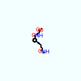 CNC(=O)CCCC#Cc1cccc(C(=O)NCCC(=O)OC)c1